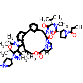 C=CC(=O)N1CC[C@H](C(=O)N(C)[C@H](C(=O)N[C@H]2Cc3cccc(c3)-c3ccc4c(c3)c(c(-c3cnn(C5CCNCC5)c3[C@H](C)OC)n4CC)CC(C)(C)COC(=O)[C@@H]3CCCN(N3)C2=O)C(C)C)C1